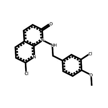 COc1ccc(CNn2c(=O)ccc3ccc(Cl)nc32)cc1Cl